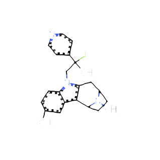 Cc1ccc2c(c1)c1c(n2CC(C)(F)c2ccncc2)CC2CCC1N2C